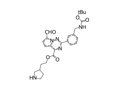 CC(C)(C)OC(=O)NCc1cccc(-c2nc(C(=O)OCCC3CCNC3)c3ccc(C=O)n3n2)c1